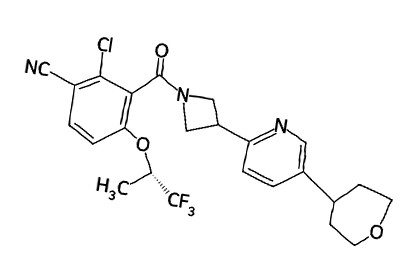 C[C@H](Oc1ccc(C#N)c(Cl)c1C(=O)N1CC(c2ccc(C3CCOCC3)cn2)C1)C(F)(F)F